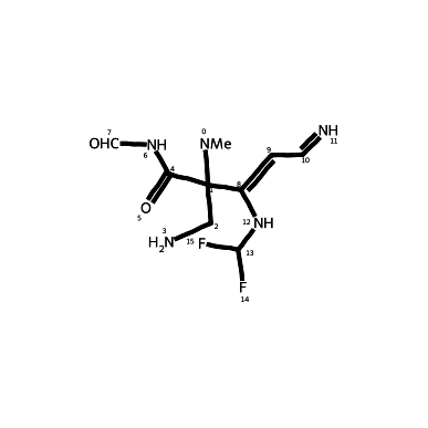 CNC(CN)(C(=O)NC=O)/C(=C/C=N)NC(F)F